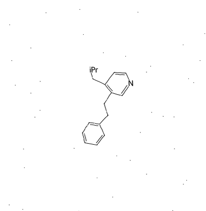 CC(C)Cc1ccncc1CCc1ccccc1